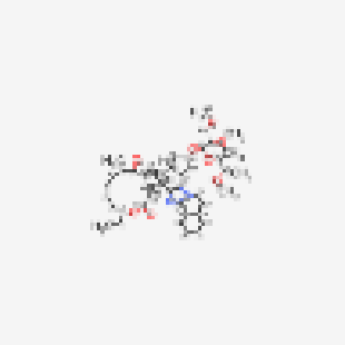 CC[C@H]1CCCC[C@@H](C)C(=O)C2=C[C@@H]3[C@@H](c4nc5c6ccccc6ccn5c4C4C[C@@H](OC(OC(C)[C@@H](C)OC)[C@H](COC)OC)C[C@H]43)[C@@H]2CC(=O)O1